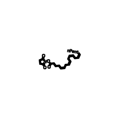 CCCCC/C=C\C/C=C\C/C=C\C/C=C\CCCC(=O)ON1C(=O)CCC1=O